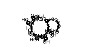 CSCC[C@@H]1NC(=O)/C=N/OCCCCCCOc2cc3cc(c2)CSC[C@H](NC1=O)C(=O)N[C@@H](Cc1ccc(O)cc1)C(=O)N1CCC[C@H]1C(=O)N[C@@H](CC(=O)O)C(=O)N[C@@H]([C@@H](C)O)C(=O)N[C@@H](Cc1ccc(O)cc1)C(=O)N[C@@H](Cc1cnc[nH]1)C(=O)N[C@H](C(N)=O)CSC3